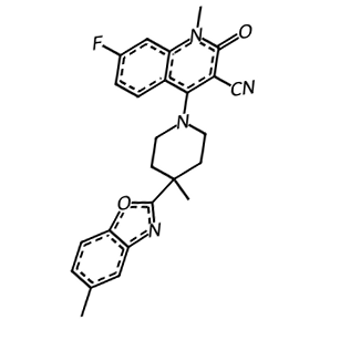 Cc1ccc2oc(C3(C)CCN(c4c(C#N)c(=O)n(C)c5cc(F)ccc45)CC3)nc2c1